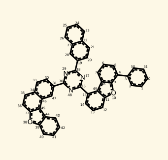 c1ccc(-c2cccc3c2oc2cccc(-c4nc(-c5ccc6ccccc6c5)nc(-c5ccc6ccc7oc8ccccc8c7c6c5)n4)c23)cc1